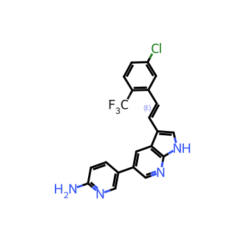 Nc1ccc(-c2cnc3[nH]cc(/C=C/c4cc(Cl)ccc4C(F)(F)F)c3c2)cn1